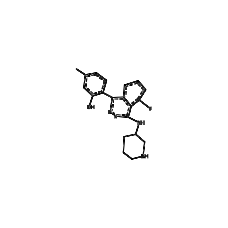 Cc1ccc(-c2nnc(NC3CCCNC3)c3c(F)cccc23)c(O)c1